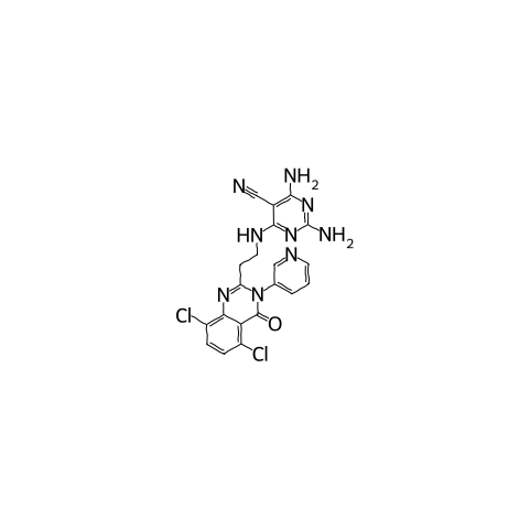 N#Cc1c(N)nc(N)nc1NCCc1nc2c(Cl)ccc(Cl)c2c(=O)n1-c1cccnc1